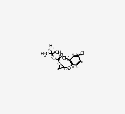 CC(C)(C)OC(=O)N1CC1Oc1ccc(Cl)cc1Cl